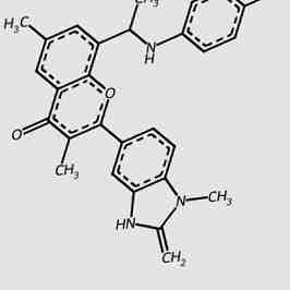 C=C1Nc2cc(-c3oc4c(C(C)Nc5ccc(Cl)nc5)cc(C)cc4c(=O)c3C)ccc2N1C